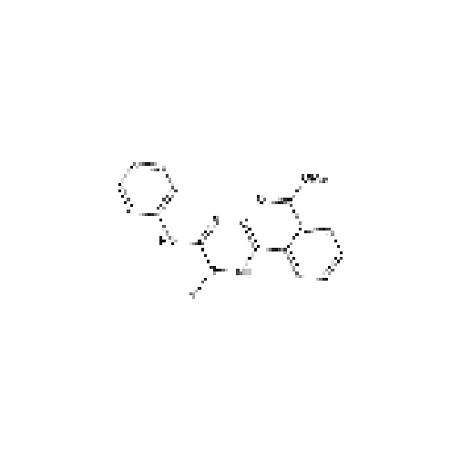 COC(=O)c1ccccc1C(=O)NN(C(=S)Nc1ccccc1)C(C)C